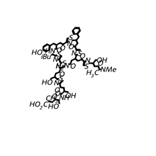 CCC(C)C(NC(=O)C(CC(=O)c1csc(C(CC(=O)c2csc(C(CC(N)=O)CC(=O)c3csc(C(CO)CC(=O)C(C)NC)n3)n2)Cc2ccccc2)n1)Cc1ccc(O)cc1)c1nc(-c2nc(C(=O)CC(CO)c3nc(C(=O)CC(CO)C(=O)NC(CO)C(=O)CC(C)C(=O)O)cs3)cs2)cs1